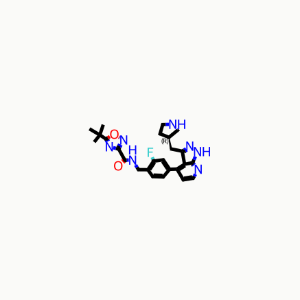 CC(C)(C)c1nc(C(=O)NCc2ccc(-c3ccnc4[nH]nc(C[C@H]5CCNC5)c34)cc2F)no1